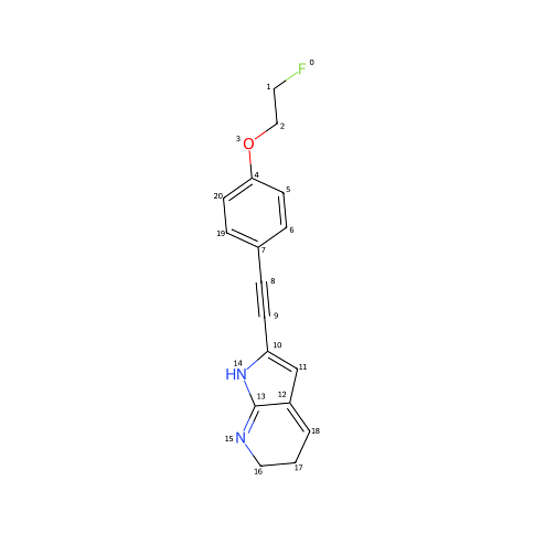 FCCOc1ccc(C#Cc2cc3c([nH]2)=NCCC=3)cc1